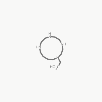 O=C(O)CN1CCCCNCCNCCNCC1